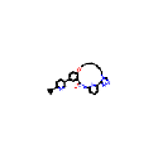 O=C1Nc2cccc(n2)-c2nncn2C/C=C\CCCOc2ccc(-c3ccc(C4CC4)nc3)cc21